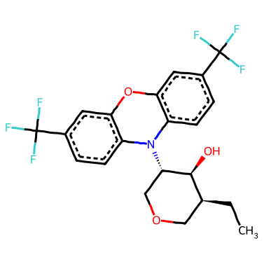 CC[C@H]1COC[C@H](N2c3ccc(C(F)(F)F)cc3Oc3cc(C(F)(F)F)ccc32)[C@H]1O